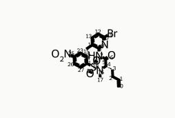 C=CCC[C@@H](C(=O)Nc1nc(Br)ccc1C)N(C)S(=O)(=O)c1ccc([N+](=O)[O-])cc1